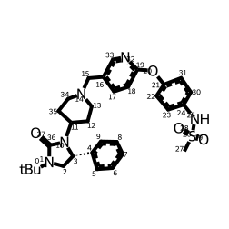 CC(C)(C)N1C[C@@H](c2ccccc2)N(C2CCN(Cc3ccc(Oc4ccc(NS(C)(=O)=O)cc4)nc3)CC2)C1=O